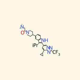 CC(C)c1c(-c2cc(C3CC3)c3nc(C(F)(F)F)nn3c2)[nH]c2ccc(C3CCN(C(=O)CN(C)C)CC3)cc12